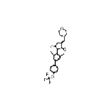 Cc1cc(-c2ccc(OC(F)(F)F)cc2)cc(C)c1C1C(=O)C/C(=C\C2CCOCC2)C1=O